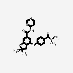 CN(C)C(=O)c1ccc(Oc2cc(C(=O)Nc3ccncn3)cc3c2CC(C)(C)O3)cc1